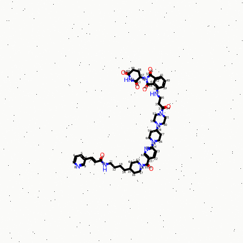 O=C(/C=C/c1cccnc1)NCCCCC1CCN(C(=O)c2ccc(N3CCC(N4CCN(C(=O)CCNc5cccc6c5C(=O)N(C5CCC(=O)NC5=O)C6=O)CC4)CC3)nc2)CC1